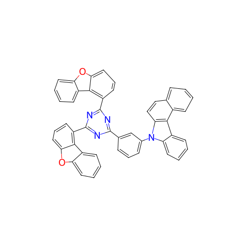 c1cc(-c2nc(-c3cccc4oc5ccccc5c34)nc(-c3cccc4oc5ccccc5c34)n2)cc(-n2c3ccccc3c3c4ccccc4ccc32)c1